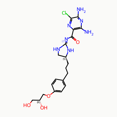 Nc1nc(N)c(C(=O)/N=C2/NC[C@H](CCCc3ccc(OC[C@H](O)CO)cc3)N2)nc1Cl